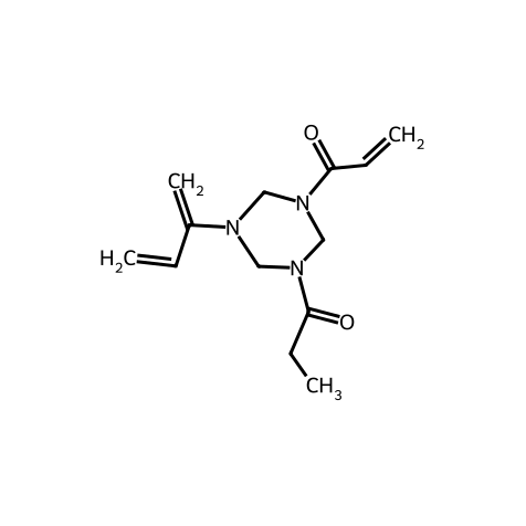 C=CC(=C)N1CN(C(=O)C=C)CN(C(=O)CC)C1